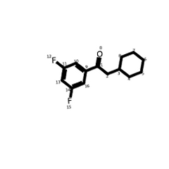 O=C(CC1CCCCC1)c1cc(F)cc(F)c1